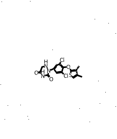 Cc1csc(Oc2c(Cl)cc(N3NCC(=O)NC3=O)cc2Cl)c1C